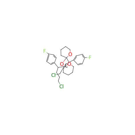 Fc1ccc(C(CCCCl)C2(OC3(C(CCCCl)c4ccc(F)cc4)CCCCO3)CCCCO2)cc1